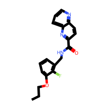 CCCOc1cccc(CNC(=O)c2ccc3ncccc3n2)c1F